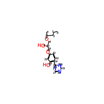 CCCC(C)OCC(O)COc1ccc(-c2ncncn2)c(O)c1